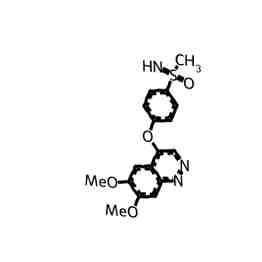 COc1cc2nncc(Oc3ccc(S(C)(=N)=O)cc3)c2cc1OC